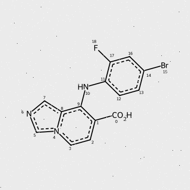 O=C(O)c1ccn2cncc2c1Nc1ccc(Br)cc1F